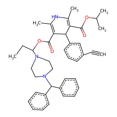 C#Cc1cccc(C2C(C(=O)OC(C)C)=C(C)NC(C)=C2C(=O)OC(CC)N2CCN(C(c3ccccc3)c3ccccc3)CC2)c1